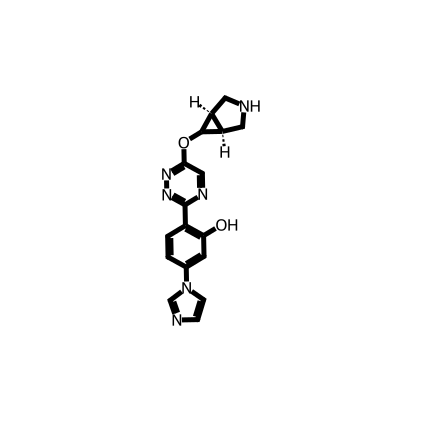 Oc1cc(-n2ccnc2)ccc1-c1ncc(OC2[C@H]3CNC[C@@H]23)nn1